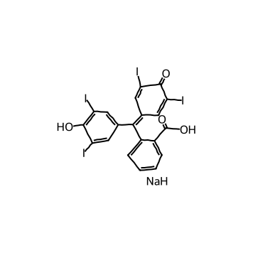 O=C1C(I)=CC(=C(c2cc(I)c(O)c(I)c2)c2ccccc2C(=O)O)C=C1I.[NaH]